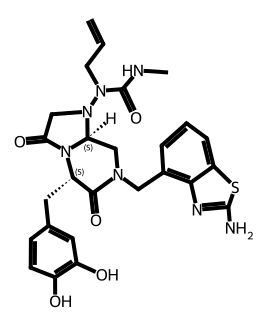 C=CCN(C(=O)NC)N1CC(=O)N2[C@@H](Cc3ccc(O)c(O)c3)C(=O)N(Cc3cccc4sc(N)nc34)C[C@@H]21